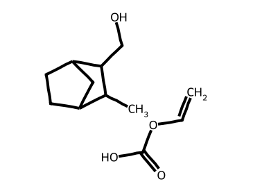 C=COC(=O)O.CC1C2CCC(C2)C1CO